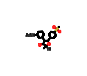 CCC1(C)OC(c2ccc(S(C)(=O)=O)cc2)=C(c2cccc(NC(C)=O)c2)C1=O